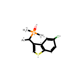 CC(=O)C(c1csc2ccc(Cl)cc12)P(C)(C)=O